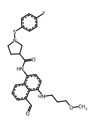 COCCCNc1ccc(NC(=O)C2CCN(Sc3ccc(F)cc3)C2)c2cccc(C=O)c12